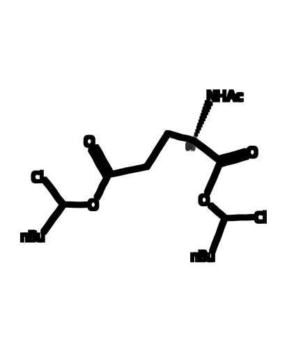 CCCCC(Cl)OC(=O)CC[C@H](NC(C)=O)C(=O)OC(Cl)CCCC